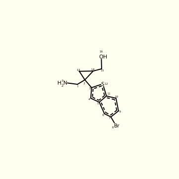 NCC1(c2cc3cc(Br)ccc3s2)CC1CO